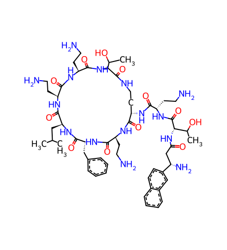 CC(C)C[C@@H]1NC(=O)[C@@H](Cc2ccccc2)NC(=O)[C@H](CCN)NC(=O)[C@@H](NC(=O)[C@H](CCN)NC(=O)[C@@H](NC(=O)C[C@H](N)c2ccc3ccccc3c2)C(C)O)CCNC(=O)C(C(C)O)NC(=O)[C@H](CCN)NC(=O)[C@H](CCN)NC1=O